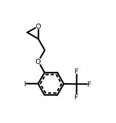 FC(F)(F)c1ccc(I)c(OCC2CO2)c1